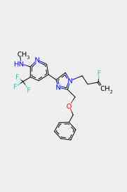 C=C(F)CCn1cc(-c2cnc(NC)c(C(F)(F)F)c2)nc1COCc1ccccc1